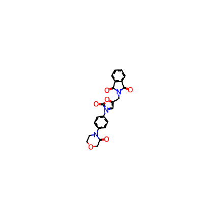 O=C1c2ccccc2C(=O)N1Cc1cn(-c2ccc(N3CCOCC3=O)cc2)c(=O)o1